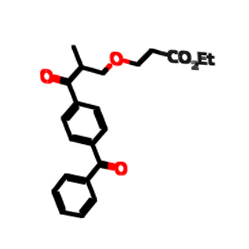 CCOC(=O)CCOCC(C)C(=O)c1ccc(C(=O)c2ccccc2)cc1